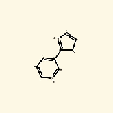 C1=CN=C(c2cccnc2)C1